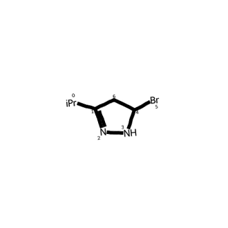 CC(C)C1=NNC(Br)C1